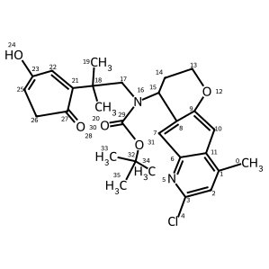 Cc1cc(Cl)nc2cc3c(cc12)OCCC3N(CC(C)(C)C1=CC(O)=CCC1=O)C(=O)OC(C)(C)C